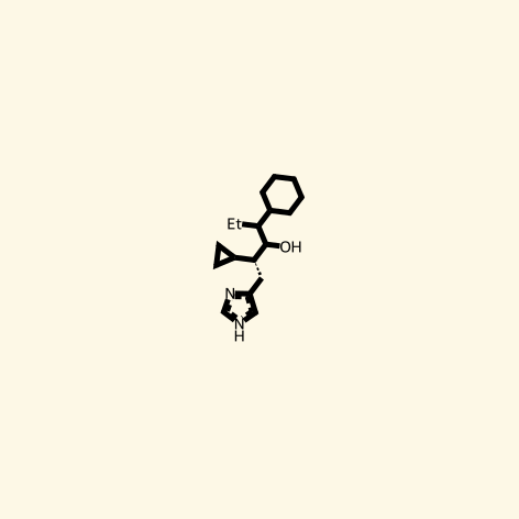 CCC(C1CCCCC1)C(O)[C@H](Cc1c[nH]cn1)C1CC1